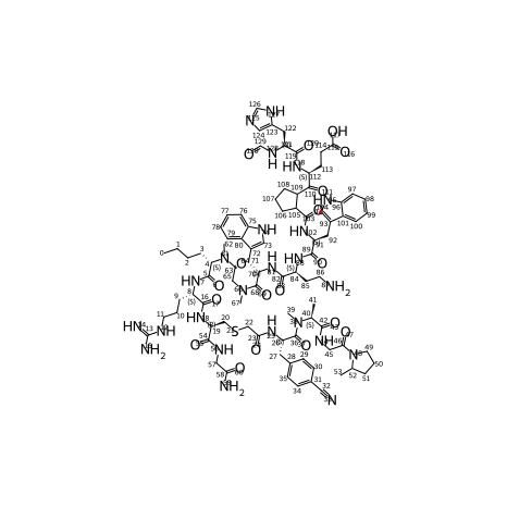 CCCC[C@@H](C(=O)N[C@@H](CCCNC(=N)N)C(=O)N[C@@H](CSCC(=O)N[C@@H](Cc1ccc(C#N)cc1)C(=O)N(C)[C@@H](C)C(=O)NCC(=O)N1CCCC1C)C(=O)NCC(N)=O)N(C)C(=O)CN(C)C(=O)[C@H](Cc1c[nH]c2ccccc12)NC(=O)[C@H](CCN)NC(=O)[C@H](Cc1c[nH]c2ccccc12)NC(=O)C1CCCC1C(=O)[C@H](CCC(=O)O)NC(=O)[C@H](Cc1cnc[nH]1)NC=O